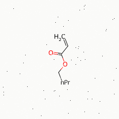 C=CC(=O)OCC[CH]C